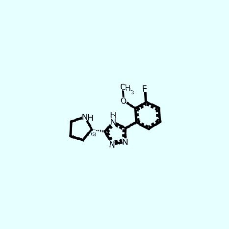 COc1c(F)cccc1-c1nnc([C@@H]2CCCN2)[nH]1